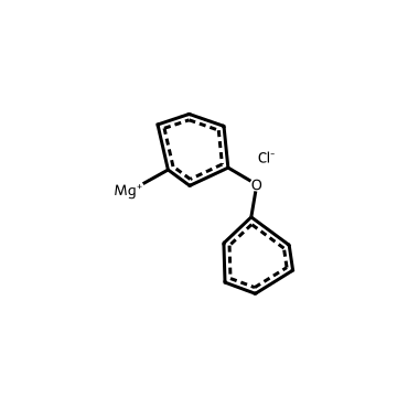 [Cl-].[Mg+][c]1cccc(Oc2ccccc2)c1